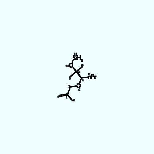 C=C(C)COC(CCC)C(C)(C)O[SiH3]